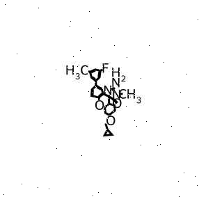 Cc1cc(F)cc(-c2ccc3c(c2)C2(N=C(N)N(C)C2=O)C2CCC(OCC4CC4)CC2O3)c1